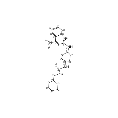 CN(C)c1cc(NC2CCC(NC(=O)CCC3CCCCC3)CC2)nc2ccccc12